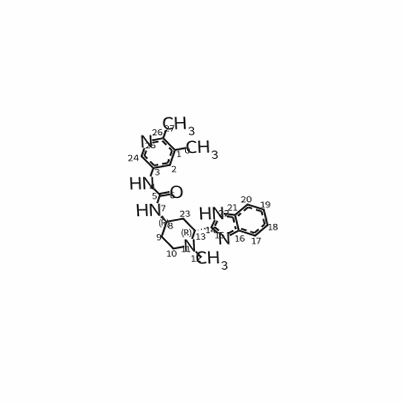 Cc1cc(NC(=O)N[C@@H]2CCN(C)[C@@H](c3nc4ccccc4[nH]3)C2)cnc1C